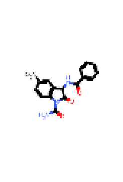 NC(=O)N1C(=O)C(NC(=O)c2ccccc2)c2cc([N+](=O)[O-])ccc21